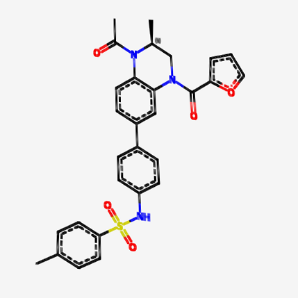 CC(=O)N1c2ccc(-c3ccc(NS(=O)(=O)c4ccc(C)cc4)cc3)cc2N(C(=O)c2ccco2)C[C@@H]1C